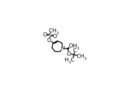 CC(C)(C)OC(=O)N1CC=C(OS(C)(=O)=O)CCC1